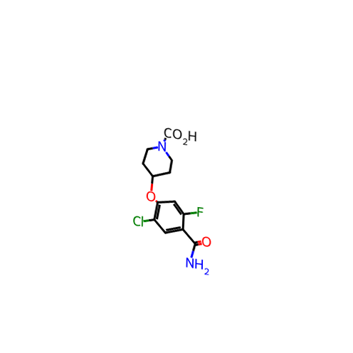 NC(=O)c1cc(Cl)c(OC2CCN(C(=O)O)CC2)cc1F